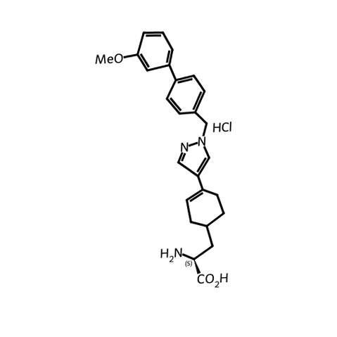 COc1cccc(-c2ccc(Cn3cc(C4=CCC(C[C@H](N)C(=O)O)CC4)cn3)cc2)c1.Cl